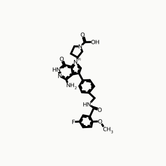 COc1ccc(F)cc1C(=O)NCc1ccc(-c2cn([C@@H]3CCN(C(=O)O)C3)c3c(=O)[nH]nc(N)c23)cc1